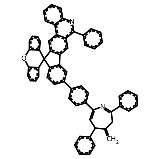 C=C1CC(c2ccccc2)=NC(c2ccc(-c3ccc4c(c3)-c3cc5c(-c6ccccc6)nc6ccccc6c5cc3C43c4ccccc4Oc4ccccc43)cc2)=CC1c1ccccc1